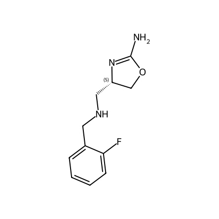 NC1=N[C@@H](CNCc2ccccc2F)CO1